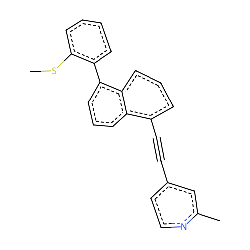 CSc1ccccc1-c1cccc2c(C#Cc3ccnc(C)c3)cccc12